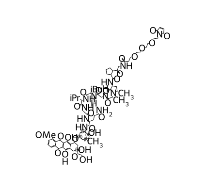 CCC(C)C(NC(=O)CNC(=O)C(C)N1C(=O)C(NC(=O)C2CCCC2C(=O)CNC(=O)CCOCCOCCOCCN2C(=O)C=CC2=O)CC1C)C(=O)NC(C(=O)NCC(=O)NC(CCC(N)=O)C(=O)N[C@H]1C[C@H](OC2C[C@](O)(C(=O)CO)Cc3c(O)c4c(c(O)c32)C(=O)c2c(OC)cccc2C4=O)C[C@@H](C)[C@H]1O)C(C)C